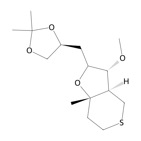 CO[C@H]1C(C[C@H]2COC(C)(C)O2)O[C@@]2(C)CCSC[C@H]12